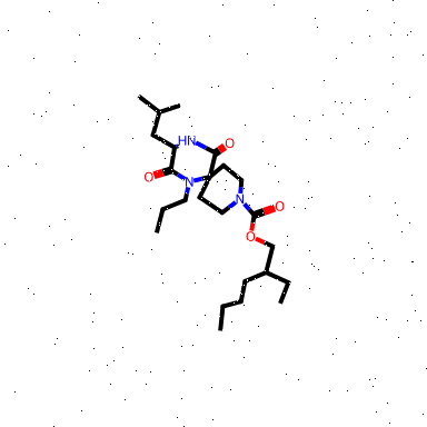 CCCCC(CC)COC(=O)N1CCC2(CC1)C(=O)NC(CC(C)C)C(=O)N2CCC